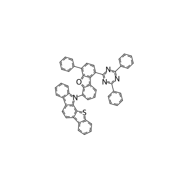 c1ccc(-c2nc(-c3ccccc3)nc(-c3ccc(-c4ccccc4)c4oc5c(-n6c7ccccc7c7ccc8c9ccccc9sc8c76)cccc5c34)n2)cc1